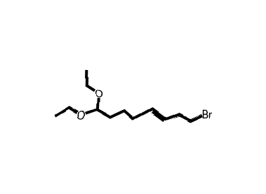 CCOC(CCC/C=C/CCBr)OCC